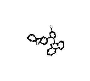 Clc1ccc(-c2cc3ccccc3c3ccccc23)c(-c2ccc3oc4ccccc4c3c2)c1